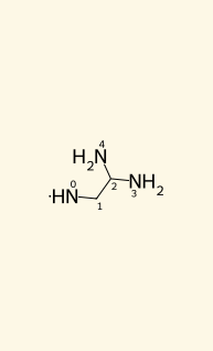 [NH]CC(N)N